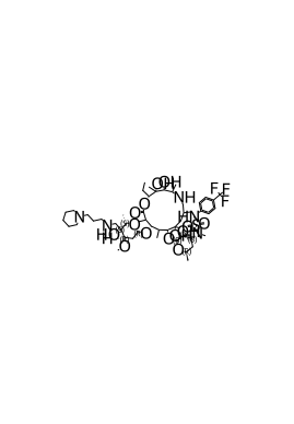 CCC1OC(=O)C(C)C(O[C@H]2C[C@@](C)(OC)[C@](O)(CNCCCN3CCCCC3)[C@H](C)O2)C(C)C(O[C@@H]2O[C@H](C)C[C@H](N(C)S(=O)(=O)Nc3ccc(C(F)(F)F)cc3)[C@H]2O)C(C)(O)CC(C)CNC(C)C(O)C1(C)O